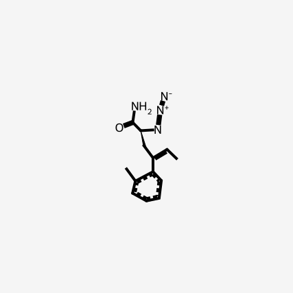 C/C=C(/C[C@H](N=[N+]=[N-])C(N)=O)c1ccccc1C